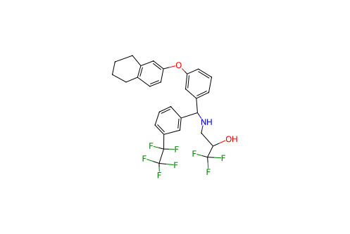 OC(CNC(c1cccc(Oc2ccc3c(c2)CCCC3)c1)c1cccc(C(F)(F)C(F)(F)F)c1)C(F)(F)F